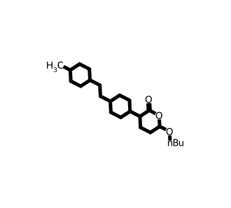 CCCCOC1CCC(C2CCC(CCC3CCC(C)CC3)CC2)C(=O)O1